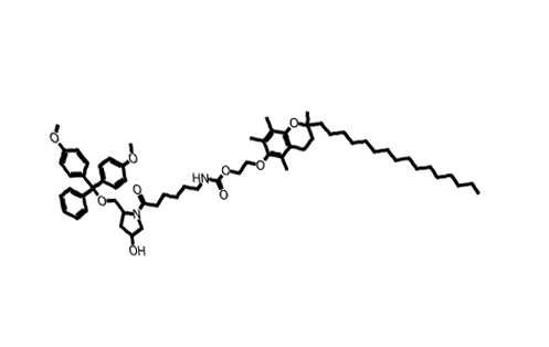 CCCCCCCCCCCCCCCCC1(C)CCc2c(C)c(OCCOC(=O)NCCCCCC(=O)N3CC(O)CC3COC(c3ccccc3)(c3ccc(OC)cc3)c3ccc(OC)cc3)c(C)c(C)c2O1